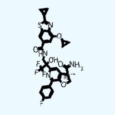 C[C@]1(C(N)=O)COc2c1cc(C(O)(CNC(=O)c1cc(OC3CC3)c3nc(C4CC4)sc3c1)C(F)(F)F)nc2-c1ccc(F)cc1